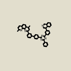 Cc1ccc2ccc3c(C)cc(-c4cccc(-c5ccc(-c6nc(-c7ccccc7)nc(-c7cccc(-c8cncc9ccccc89)c7)n6)cc5)c4)nc3c2n1